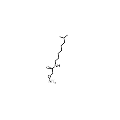 CC(C)CCCCCCNC(=O)CON